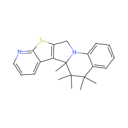 CC1(C)c2ccccc2N2Cc3sc4ncccc4c3C2(C)C1(C)C